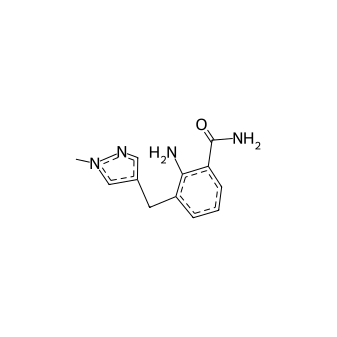 Cn1cc(Cc2cccc(C(N)=O)c2N)cn1